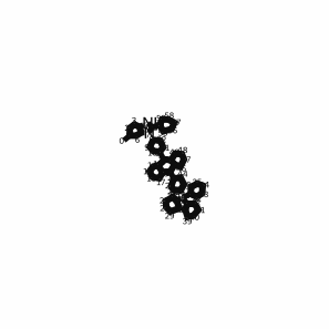 Cc1ccc2c(c1)N(c1ccc(-c3c4ccccc4c(-c4ccc([Si](c5ccccc5)(c5ccccc5)c5ccccc5)cc4)c4ccccc34)cc1)C(c1ccccc1)N2